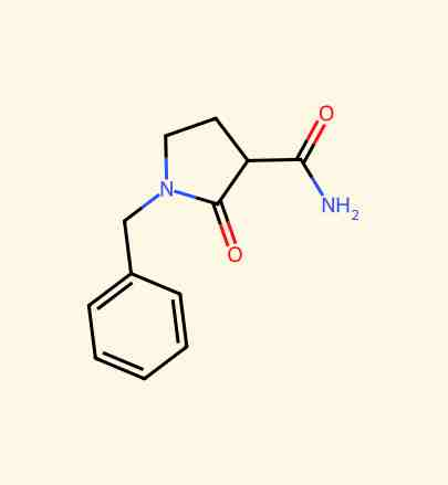 NC(=O)C1CCN(Cc2ccccc2)C1=O